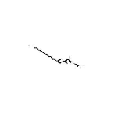 CCCCCCCCCCCCCCc1cnc(-c2ccc(OCCC(C)F)c(F)c2)nc1